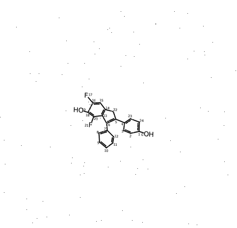 Oc1ccc(C2=C(c3ccccc3)c3c(cc(F)c(O)c3F)C2)cc1